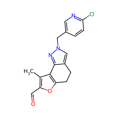 Cc1c(C=O)oc2c1-c1nn(Cc3ccc(Cl)nc3)cc1CC2